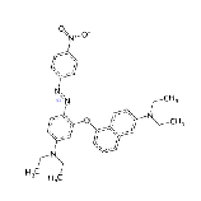 CCN(CC)c1ccc(/N=N/c2ccc([N+](=O)[O-])cc2)c(Oc2cccc3cc(N(CC)CC)ccc23)c1